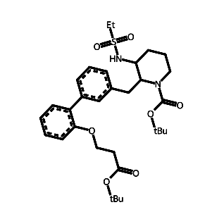 CCS(=O)(=O)NC1CCCN(C(=O)OC(C)(C)C)C1Cc1cccc(-c2ccccc2OCCC(=O)OC(C)(C)C)c1